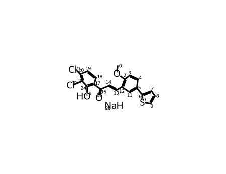 COc1ccc(-c2cccs2)cc1C=CC(=O)c1ccc(Cl)c(Cl)c1O.[NaH]